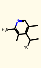 Bc1ncc(C)c(C(C)C#N)c1C